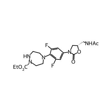 CCOC(=O)N1CCN(c2c(F)cc(N3C[C@H](CNC(C)=O)OC3=O)cc2F)CCN1